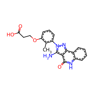 Cc1c(OCCC(=O)O)cccc1-n1nc2c(c1N)c(=O)[nH]c1ccccc12